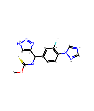 COC(=S)NC(c1ccc(-n2cncn2)c(F)c1)c1c[nH]nn1